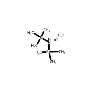 C[Si](C)(C)N[Si](C)(C)C.Cl.Cl